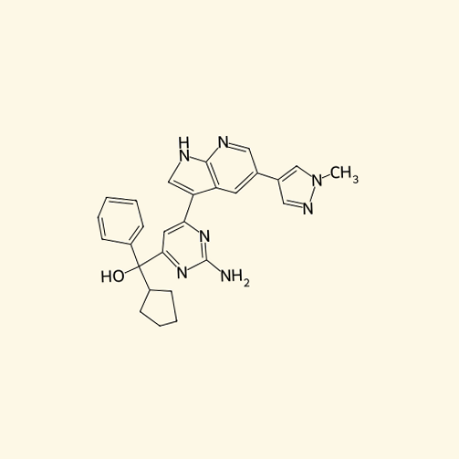 Cn1cc(-c2cnc3[nH]cc(-c4cc(C(O)(c5ccccc5)C5CCCC5)nc(N)n4)c3c2)cn1